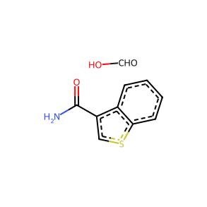 NC(=O)c1csc2ccccc12.O=CO